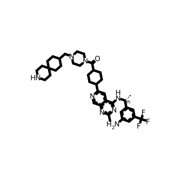 Cc1nc(N[C@H](C)c2cc(N)cc(C(F)(F)F)c2)c2cc(C3CCC(C(=O)N4CCN(CC5CCC6(CCNCC6)CC5)CC4)CC3)ncc2n1